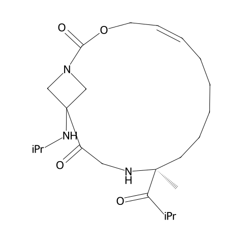 CC(C)NC12CN(C1)C(=O)OCC=CCCCCC[C@@](C)(C(=O)C(C)C)NCC2=O